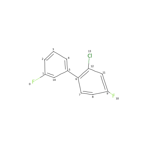 Fc1[c]ccc(-c2ccc(F)cc2Cl)c1